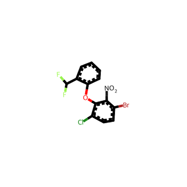 O=[N+]([O-])c1c(Br)ccc(Cl)c1Oc1ccccc1C(F)F